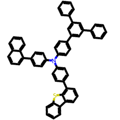 c1ccc(-c2cc(-c3ccccc3)cc(-c3ccc(N(c4ccc(-c5cccc6ccccc56)cc4)c4ccc(-c5cccc6c5sc5ccccc56)cc4)cc3)c2)cc1